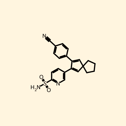 N#Cc1ccc(C2=CC3(C=C2c2ccc(S(N)(=O)=O)nc2)CCCC3)cc1